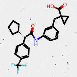 O=C(Nc1cccc(CC2(C(=O)O)CC2)c1)[C@H](c1ccc(C(F)(F)F)cc1)C1CCCC1